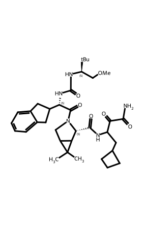 COC[C@@H](NC(=O)N[C@H](C(=O)N1CC2C([C@H]1C(=O)NC(CC1CCC1)C(=O)C(N)=O)C2(C)C)C1Cc2ccccc2C1)C(C)(C)C